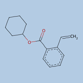 C=Cc1ccccc1C(=O)OC1CCCCC1